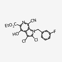 CCOC(=O)c1nc(C#N)c2c(c1O)c(Cl)c(Cl)n2Cc1cccc(F)c1